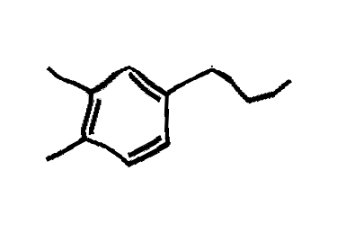 CC[CH]c1ccc(C)c(C)c1